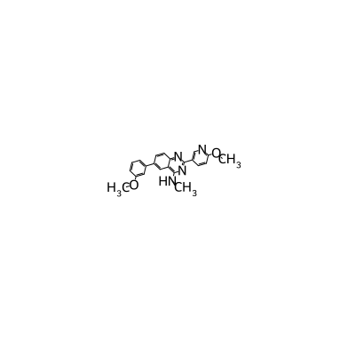 CNc1nc(-c2ccc(OC)nc2)nc2ccc(-c3cccc(OC)c3)cc12